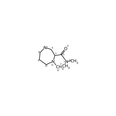 CN(C)C(=O)C1C[N]CCCN1C